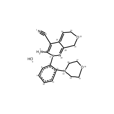 Cl.N#CC1=C(N)N(c2ccccc2N2CCOCC2)N=C2COCC=C21